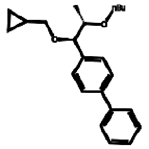 CCCCO[C@@H](C)[C@H](OCC1CC1)c1ccc(-c2ccccc2)cc1